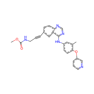 COC(=O)NCC#Cc1ccc2ncnc(Nc3ccc(Oc4cccnc4)c(C)c3)c2c1